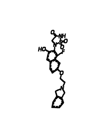 O=C1CN(c2c(O)cc3ccc(OCCN4Cc5ccccc5C4)cc3c2F)S(=O)(=O)N1